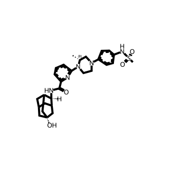 C[C@@H]1CN(c2ccc(NS(C)(=O)=O)cc2)CCN1c1cccc(C(=O)N[C@H]2C3CC4CC2C[C@](O)(C4)C3)n1